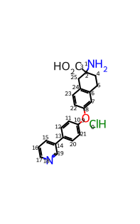 Cl.NC1(C(=O)O)CCc2cc(Oc3ccc(-c4cccnc4)cc3)ccc2C1